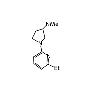 CCc1cccc(N2CCC(NC)C2)n1